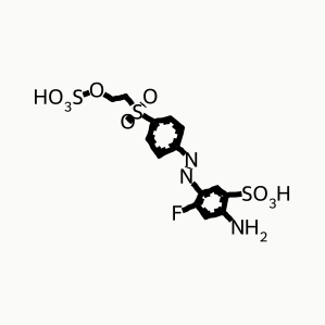 Nc1cc(F)c(N=Nc2ccc(S(=O)(=O)CCOS(=O)(=O)O)cc2)cc1S(=O)(=O)O